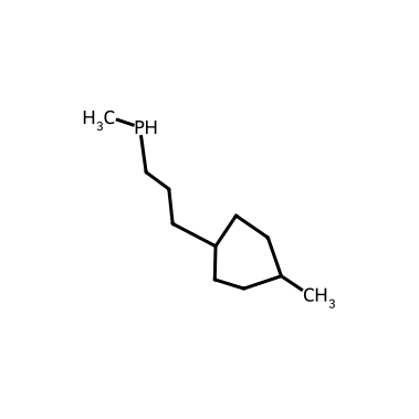 CPCCCC1CCC(C)CC1